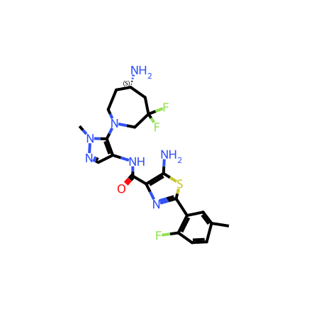 Cc1ccc(F)c(-c2nc(C(=O)Nc3cnn(C)c3N3CC[C@H](N)CC(F)(F)C3)c(N)s2)c1